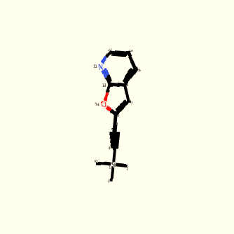 C[Si](C)(C)C#Cc1cc2cccnc2o1